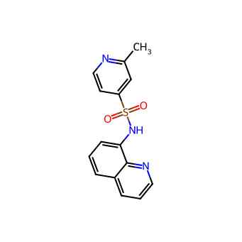 Cc1cc(S(=O)(=O)Nc2cccc3cccnc23)ccn1